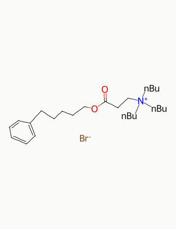 CCCC[N+](CCCC)(CCCC)CCC(=O)OCCCCCc1ccccc1.[Br-]